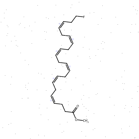 COC(=O)CC/C=C\C/C=C\C/C=C\C/C=C\C/C=C\C/C=C\CCF